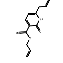 C=CCOC(=N)c1ccc(CC=C)[nH]c1=O